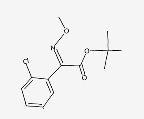 CON=C(C(=O)OC(C)(C)C)c1c[c]ccc1Cl